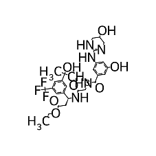 CCOC(=O)C[C@H](NC(=O)CNC(=O)c1cc(O)cc(NC2=NCC(O)CN2)c1)c1cc(C(C)(C)O)cc(C(F)(F)F)c1